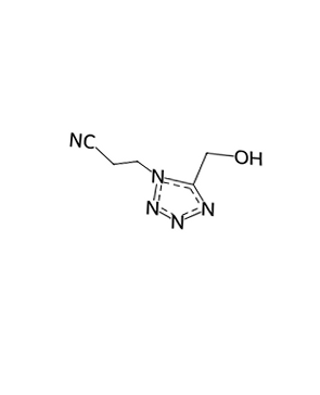 N#CCCn1nnnc1CO